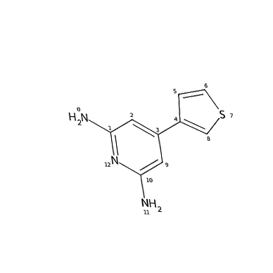 Nc1cc(-c2ccsc2)cc(N)n1